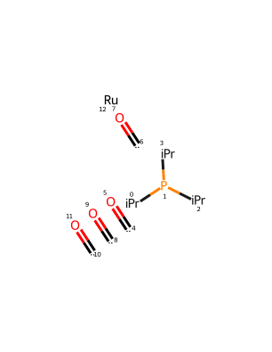 CC(C)P(C(C)C)C(C)C.[C]=O.[C]=O.[C]=O.[C]=O.[Ru]